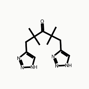 CC(C)(Cc1c[nH]nn1)C(=O)C(C)(C)Cc1c[nH]nn1